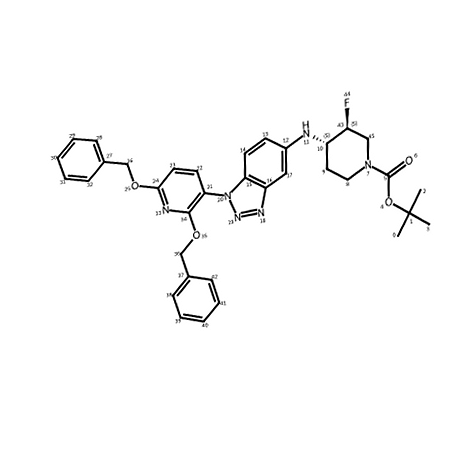 CC(C)(C)OC(=O)N1CC[C@H](Nc2ccc3c(c2)nnn3-c2ccc(OCc3ccccc3)nc2OCc2ccccc2)[C@@H](F)C1